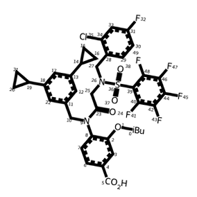 CCC(C)Oc1cc(C(=O)O)ccc1N(Cc1cc(C2CC2)cc(C2CC2)c1)C(=O)CN(Cc1ccc(F)cc1Cl)S(=O)(=O)c1c(F)c(F)c(F)c(F)c1F